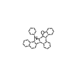 c1ccc(-n2c3c4ccccc4ccc3c3c4ccccc4c4c5ccccc5oc4c32)cc1